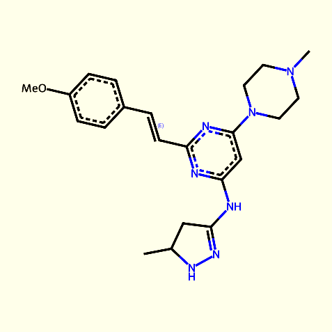 COc1ccc(/C=C/c2nc(NC3=NNC(C)C3)cc(N3CCN(C)CC3)n2)cc1